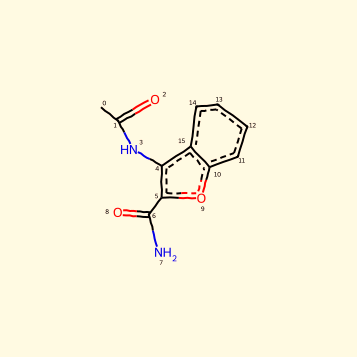 CC(=O)Nc1c(C(N)=O)oc2ccccc12